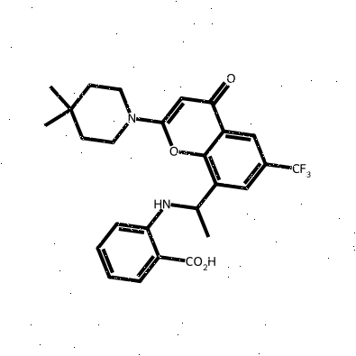 CC(Nc1ccccc1C(=O)O)c1cc(C(F)(F)F)cc2c(=O)cc(N3CCC(C)(C)CC3)oc12